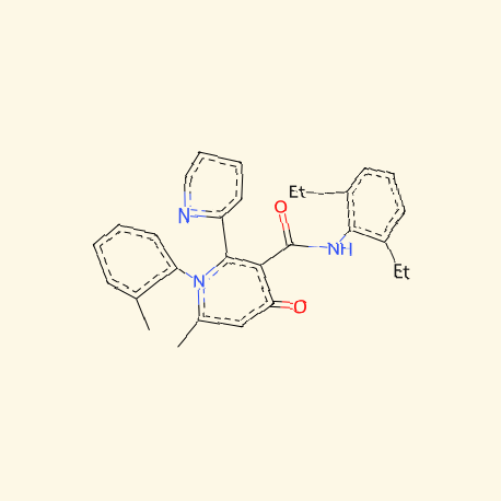 CCc1cccc(CC)c1NC(=O)c1c(-c2ccccn2)n(-c2ccccc2C)c(C)cc1=O